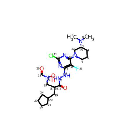 CN(C)[C@@H]1CCCN(c2nc(Cl)nc(NNC(=O)[C@@H](CC3CCCC3)CN(O)C=O)c2F)C1